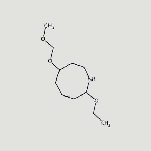 CCOC1CCCC(OCOC)CCN1